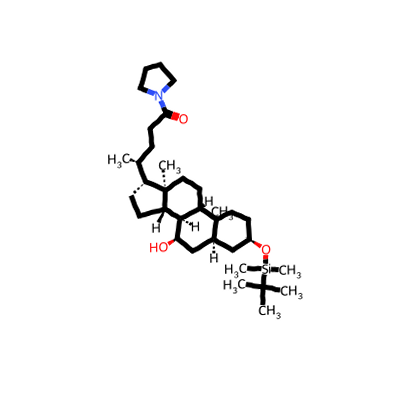 C[C@H](CCC(=O)N1CCCC1)[C@H]1CC[C@H]2[C@@H]3[C@H](O)C[C@@H]4C[C@H](O[Si](C)(C)C(C)(C)C)CC[C@]4(C)[C@H]3CC[C@]12C